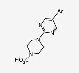 CC(=O)c1cnc(N2CCN(C(=O)O)CC2)nc1